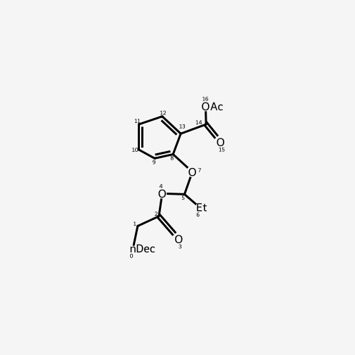 CCCCCCCCCCCC(=O)OC(CC)Oc1ccccc1C(=O)OC(C)=O